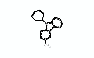 Cc1ccc2c(c1)c1ccccc1n2C1C=CC=CC1